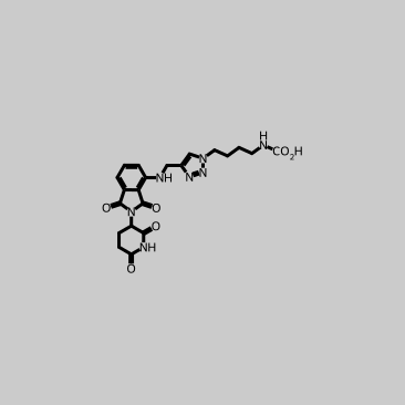 O=C(O)NCCCCn1cc(CNc2cccc3c2C(=O)N(C2CCC(=O)NC2=O)C3=O)nn1